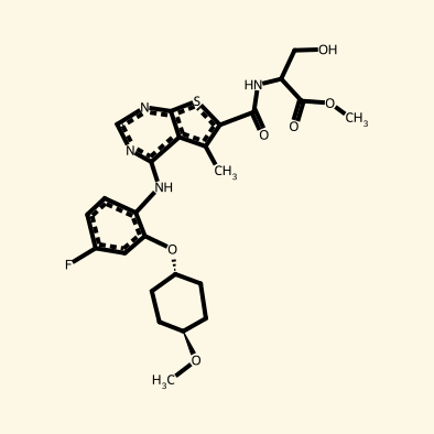 COC(=O)C(CO)NC(=O)c1sc2ncnc(Nc3ccc(F)cc3O[C@H]3CC[C@H](OC)CC3)c2c1C